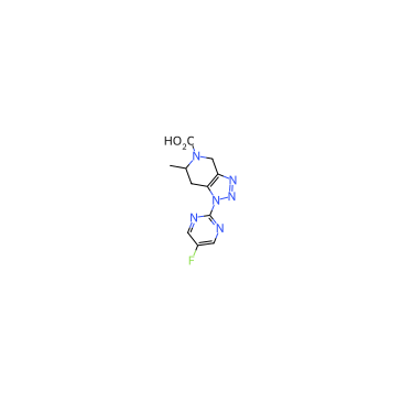 CC1Cc2c(nnn2-c2ncc(F)cn2)CN1C(=O)O